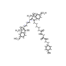 CC[N+]1=C(/C=C/C=C/C=C2\N(CCCCCC(=O)NCC(=O)NCCc3ccc(O)cc3)c3ccc(S(=O)(=O)O)cc3C2(C)C)C(C)(C)c2cc(S(=O)(=O)O)ccc21